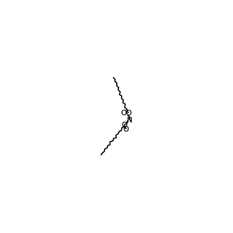 CCCCCCCCCCCCCCCCC(=O)OCCN(C)CCOC(=O)CCCCCCCCCCCCCCCC